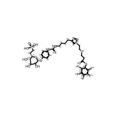 O=C(CCOCCn1cc(CCCCNC(=S)Nc2ccc(O[C@H]3O[C@H](CCP(=O)(O)O)[C@@H](O)[C@H](O)[C@@H]3O)cc2)nn1)Oc1c(F)c(F)c(F)c(F)c1F